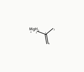 C=C(C)C.[MgH2]